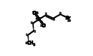 CCCCS(=O)(=O)/C=C/CBr